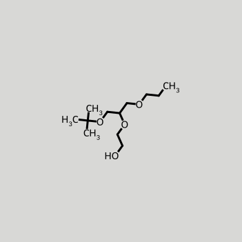 CCCOCC(COC(C)(C)C)OCCO